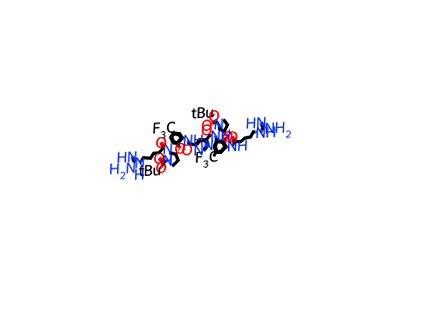 CC(C)(C)OC(=O)N1CC[C@@H](Oc2c(NC(=O)CCCCNC(=N)N)cc(C(F)(F)F)cc2NC(=O)c2cc(C(=O)Nc3cc(C(F)(F)F)cc(NC(=O)CCCCNC(=N)N)c3O[C@@H]3CCN(C(=O)OC(C)(C)C)C3)ncn2)C1